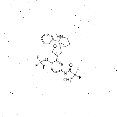 CN(C(=O)C(F)(F)F)c1ccc(OC(F)(F)F)c([C@H]2CO[C@]3(CCCN[C@H]3c3ccccc3)C2)c1